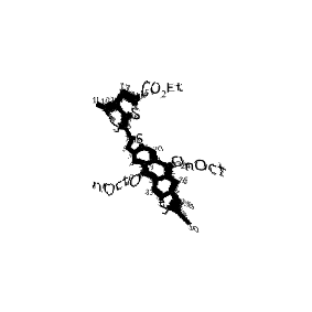 CCCCCCCCOc1c2cc3cc(-c4sc(C)c5cc(C(=O)OCC)sc45)sc3cc2c(OCCCCCCCC)c2cc3cc(C)sc3cc12